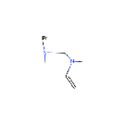 C=CN(C)CN(C)C(C)C